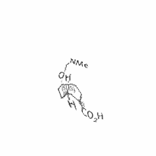 CNCCO[C@H]1CC[C@@H]2[C@@H]1CC[C@H]2C(=O)O